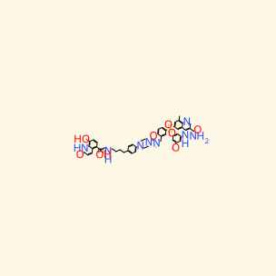 COc1cccc(Nc2c(C(N)=O)cnc3c(C)cc(S(=O)(=O)c4cccc(CN(C)C(=O)N5CCN(c6ccc(CCCCNC[C@H](O)c7ccc(O)c8[nH]c(=O)ccc78)cc6)CC5)c4)cc23)c1